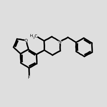 CC1CN(Cc2ccccc2)CCC1c1cc(F)cc2ccoc12